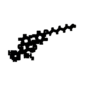 C=CCCCCCCOc1ccc(C(=O)c2cccc3oc(-c4nnn[nH]4)c(N)c(=O)c23)cc1